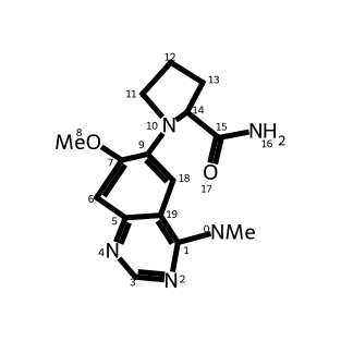 CNc1ncnc2cc(OC)c(N3CCCC3C(N)=O)cc12